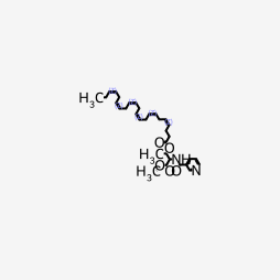 CC/C=C\C/C=C\C/C=C\C/C=C\C/C=C\C/C=C\CCC(=O)OC(C)C(NC(=O)c1cccnc1)C(=O)OC